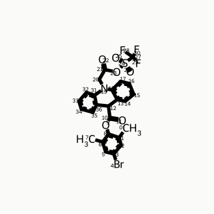 Cc1cc(Br)cc(C)c1OC(=O)C1c2ccccc2N(CC(=O)OS(=O)(=O)C(F)(F)F)c2ccccc21